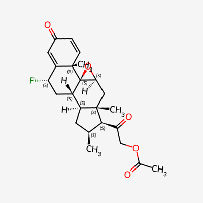 CC(=O)OCC(=O)[C@H]1[C@@H](C)C[C@H]2[C@@H]3C[C@H](F)C4=CC(=O)C=C[C@]4(C)[C@@]34O[C@H]4C[C@@]21C